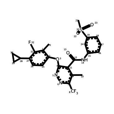 Cc1c(Oc2nnc(C(F)(F)F)c(C)c2C(=O)Nc2cccc(S(C)(=O)=O)c2)ccc(C2CC2)c1F